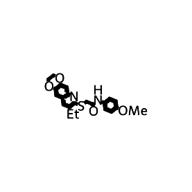 CCc1cc2cc3c(cc2nc1SCC(=O)Nc1ccc(OC)cc1)OCCO3